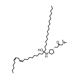 CCCCC/C=C\C/C=C\CCCCCCCCC(O)(CCCCCCCCCCCCCCCCCC)N[C@@H]1CC[C@@H](CCC(=O)CN(C)C)C1